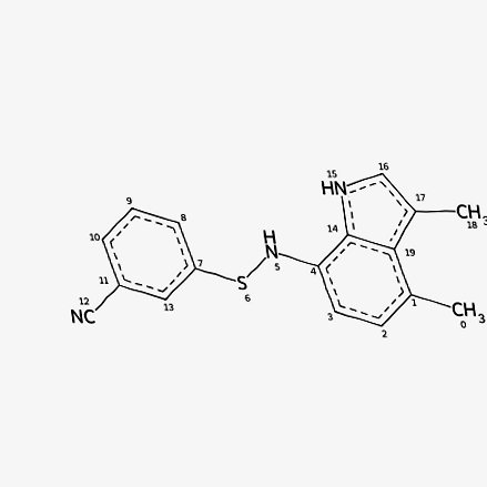 Cc1ccc(NSc2cccc(C#N)c2)c2[nH]cc(C)c12